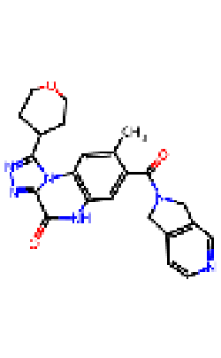 Cc1cc2c(cc1C(=O)N1Cc3ccncc3C1)[nH]c(=O)c1nnc(C3CCOCC3)n12